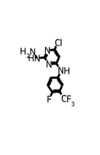 NNc1nc(Cl)cc(Nc2ccc(F)c(C(F)(F)F)c2)n1